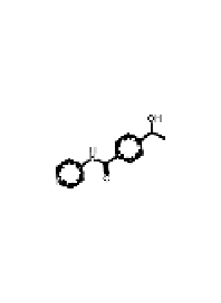 CC(O)c1ccc(C(=O)Nc2ccncc2)cc1